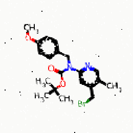 COc1ccc(CN(C(=O)OC(C)(C)C)c2cc(CBr)c(C)cn2)cc1